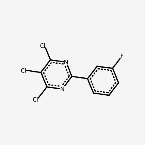 Fc1cccc(-c2nc(Cl)c(Cl)c(Cl)n2)c1